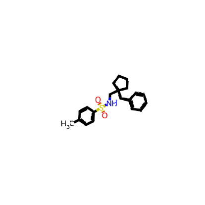 Cc1ccc(S(=O)(=O)NCC2(Cc3ccccc3)CCCC2)cc1